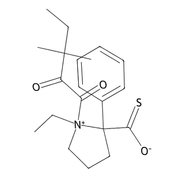 CCC(C)(C)C(=O)C(=O)[N+]1(CC)CCCC1(C([O-])=S)c1ccccc1